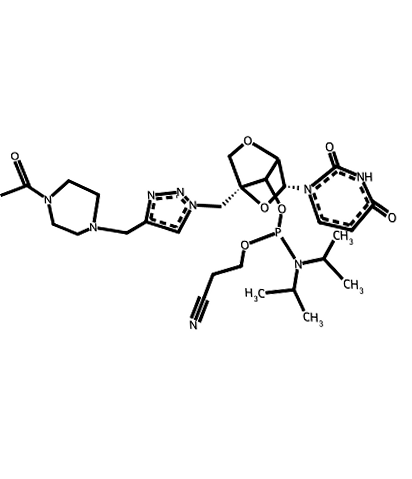 CC(C)N(C(C)C)P(OCCC#N)OC1C2OC[C@]1(Cn1cc(CN3CCN(C(=O)I)CC3)nn1)O[C@H]2n1ccc(=O)[nH]c1=O